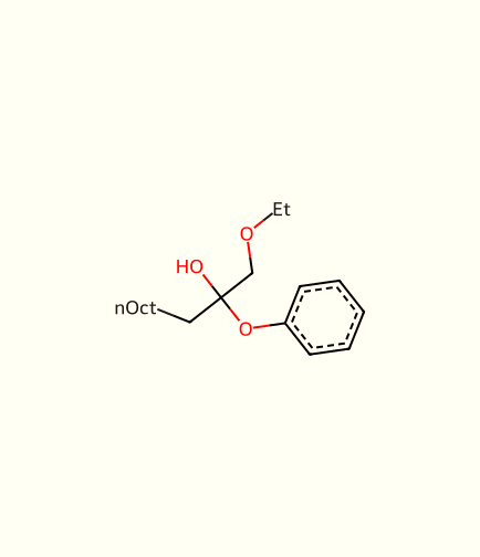 CCCCCCCCCC(O)(COCC)Oc1ccccc1